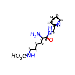 NC(CCCCNC(=O)O)C(=O)NCc1ccccn1